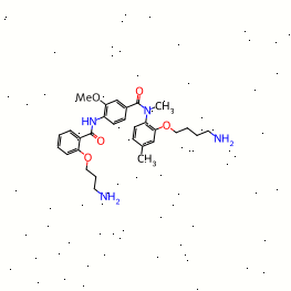 COc1cc(C(=O)N(C)c2ccc(C)cc2OCCCCN)ccc1NC(=O)c1ccccc1OCCCN